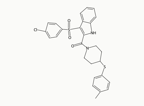 Cc1ccc(SC2CCN(C(=O)c3[nH]c4ccccc4c3S(=O)(=O)c3ccc(Cl)cc3)CC2)cc1